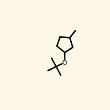 CC1CCC(OC(C)(C)C)C1